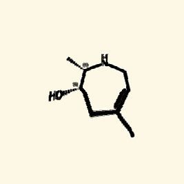 CC1=CCN[C@@H](C)[C@@H](O)C1